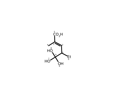 CCC(C=C(C)C(=O)O)C(O)(O)O